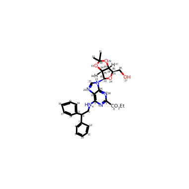 CCOC(=O)c1nc(NCC(c2ccccc2)c2ccccc2)c2ncn([C@@H]3O[C@H](CO)[C@H]4OC(C)(C)O[C@H]43)c2n1